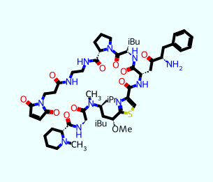 CC[C@H](C)[C@H](NC(=O)[C@H]1CCCCN1C)C(=O)N(C)[C@H](C[C@@H](OC)c1nc(C(=O)N[C@@H](CC(=O)[C@@H](N)Cc2ccccc2)C(=O)N[C@H](C(=O)N2CCC[C@H]2C(=O)NCCNC(=O)CCN2C(=O)C=CC2=O)[C@@H](C)CC)cs1)C(C)C